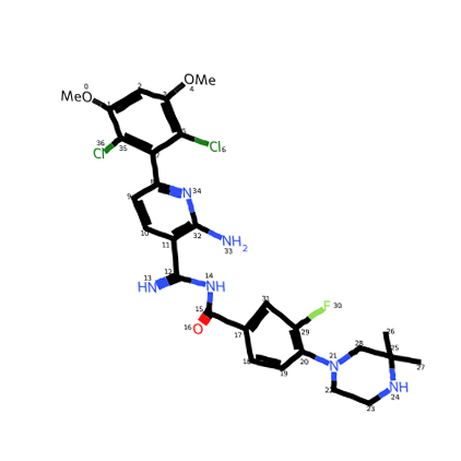 COc1cc(OC)c(Cl)c(-c2ccc(C(=N)NC(=O)c3ccc(N4CCNC(C)(C)C4)c(F)c3)c(N)n2)c1Cl